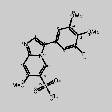 COc1cc2ncc(-c3cc(F)c(OC)c(OC)c3)n2cc1S(=O)(=O)C(C)(C)C